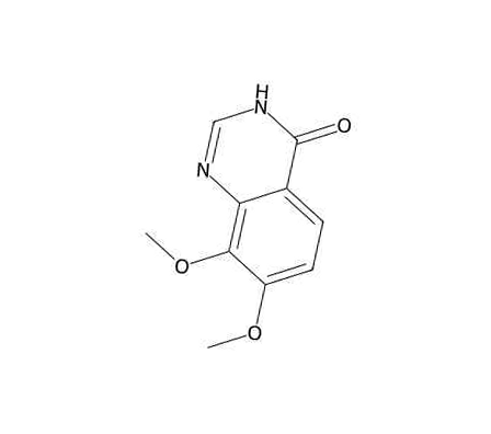 COc1ccc2c(=O)[nH]cnc2c1OC